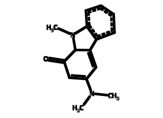 CN(C)C1=CC(=O)C2C(=C1)c1ccccc1N2C